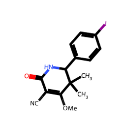 COC1=C(C#N)C(=O)NC(c2ccc(I)cc2)C1(C)C